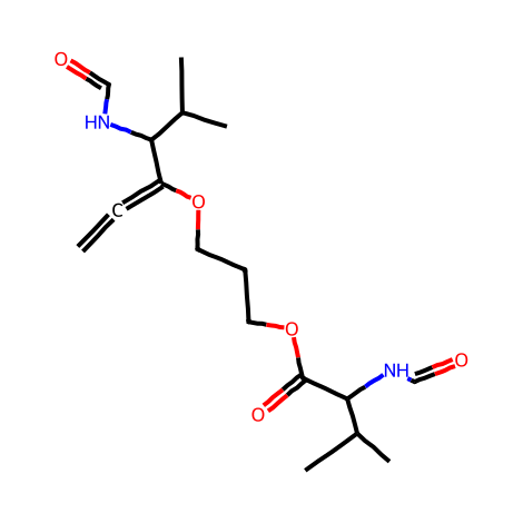 C=C=C(OCCCOC(=O)C(NC=O)C(C)C)C(NC=O)C(C)C